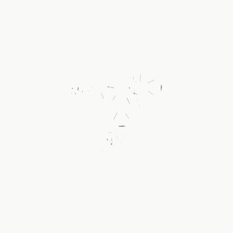 COc1ccc(-c2nc(-c3ccccc3Cl)sc2-c2ccc(S(N)(=O)=O)cc2)cc1